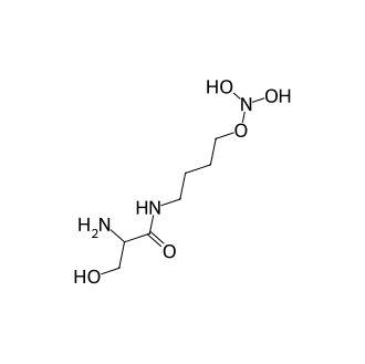 NC(CO)C(=O)NCCCCON(O)O